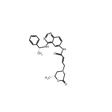 C[C@@H]1CN(C/C=C/C(=O)Nc2ccc3ncnc(N[C@H](C)c4ccccc4)c3c2)CC(=O)O1